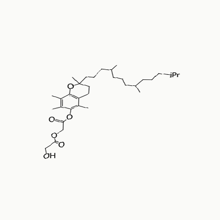 Cc1c(C)c2c(c(C)c1OC(=O)COC(=O)CO)CCC(C)(CCCC(C)CCCC(C)CCCC(C)C)O2